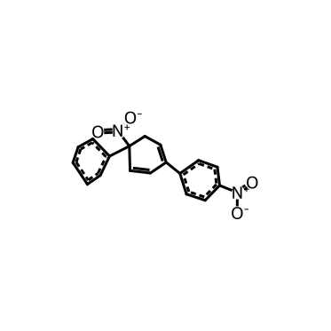 O=[N+]([O-])c1ccc(C2=CCC(c3ccccc3)([N+](=O)[O-])C=C2)cc1